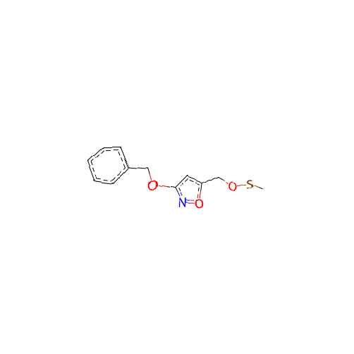 CSOCc1cc(OCc2ccccc2)no1